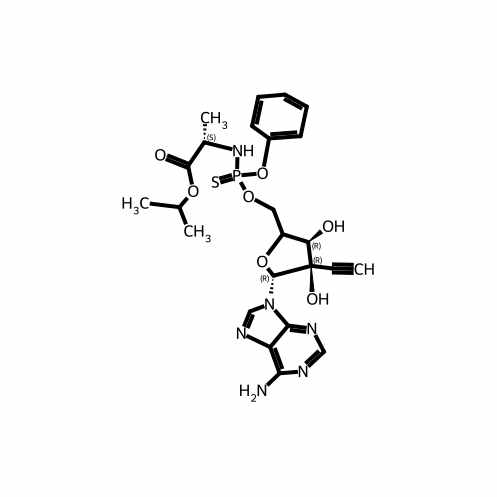 C#C[C@@]1(O)[C@H](O)C(COP(=S)(N[C@@H](C)C(=O)OC(C)C)Oc2ccccc2)O[C@H]1n1cnc2c(N)ncnc21